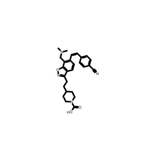 CN(C)Cc1c(/C=C\c2ccc(C#N)cc2)ccc2c(CCC3CCN(C(=O)O)CC3)noc12